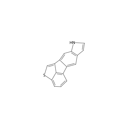 c1cc2c3c(csc3c1)-c1cc3[nH]ccc3cc1-2